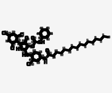 CCCCCCCCCCCCCCCC(=O)Nc1ccc(Nc2[nH]n(-c3c(Cl)cc(Cl)cc3Cl)c(=O)c2OC(=O)Nc2ccccc2)c(Cl)c1